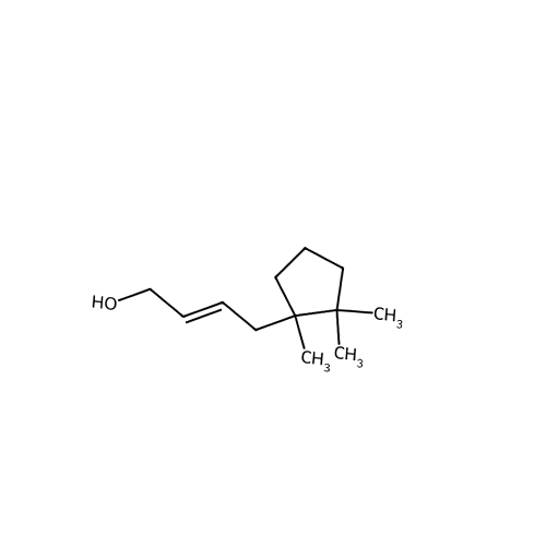 CC1(C)CCCC1(C)CC=CCO